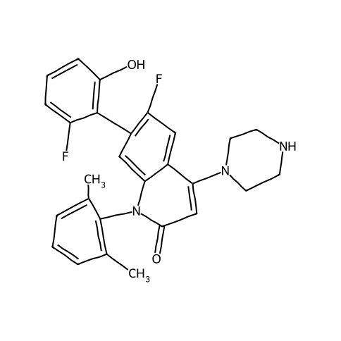 Cc1cccc(C)c1-n1c(=O)cc(N2CCNCC2)c2cc(F)c(-c3c(O)cccc3F)cc21